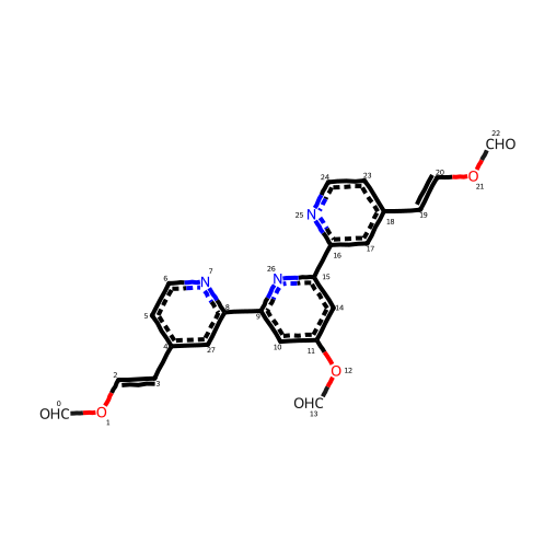 O=CO/C=C/c1ccnc(-c2cc(OC=O)cc(-c3cc(/C=C/OC=O)ccn3)n2)c1